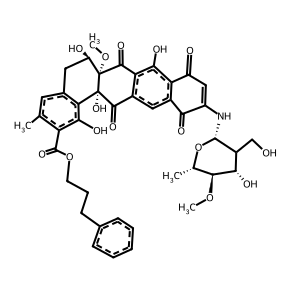 CO[C@H]1[C@H](C)O[C@H](NC2=CC(=O)c3c(cc4c(c3O)C(=O)[C@]3(OC)[C@H](O)Cc5cc(C)c(C(=O)OCCCc6ccccc6)c(O)c5[C@]3(O)C4=O)C2=O)C(CO)[C@@H]1O